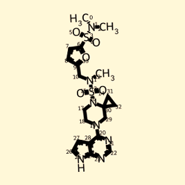 CN(C)S(=O)(=O)c1ccc(CN(C)S(=O)(=O)N2CCN(c3ncnc4[nH]ccc34)CC23CC3)o1